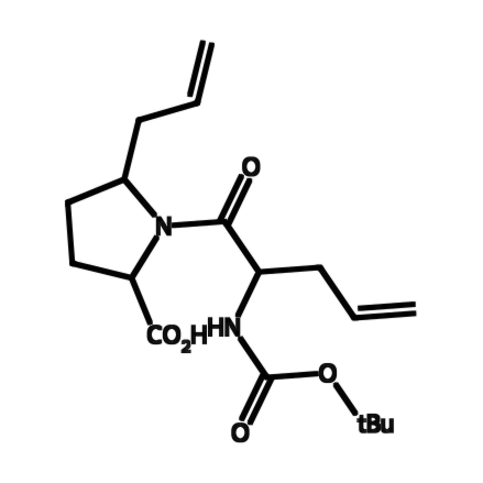 C=CCC(NC(=O)OC(C)(C)C)C(=O)N1C(CC=C)CCC1C(=O)O